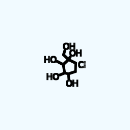 OCC1(O)CCC(O)C(O)C1O.[C]